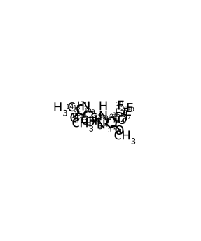 COc1cc2nc([S+]([O-])Cc3ncc(C)c(OC)c3C)[nH]c2cc1OC(F)(F)C(F)F